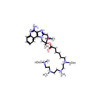 CCCCCCCCCCN(CC)CCN(C)CCN(C)CCN(CCCCCCCCCC)CCCCCC(=O)OC(C)(C)Cn1c(CNCC)nc2c(N)nc3ccccc3c21